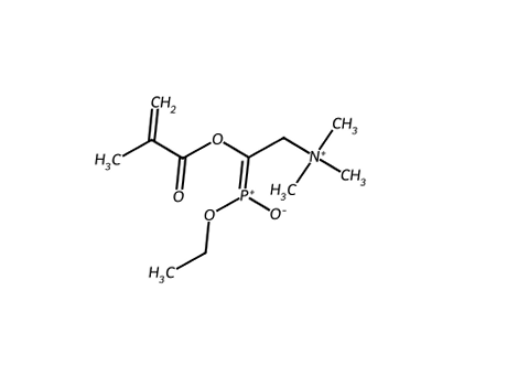 C=C(C)C(=O)OC(C[N+](C)(C)C)=[P+]([O-])OCC